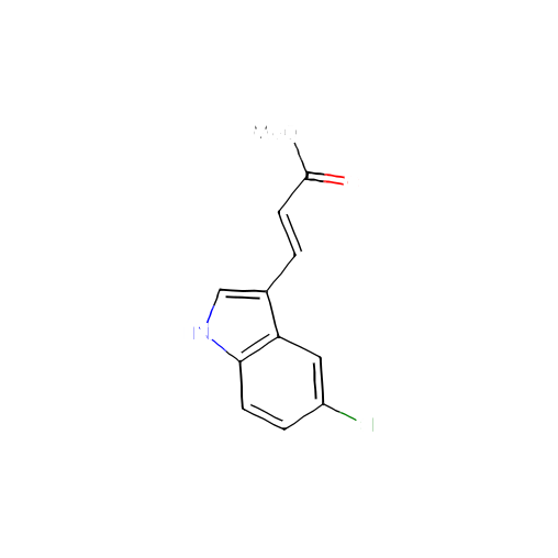 COC(=O)/C=C/c1c[nH]c2ccc(Cl)cc12